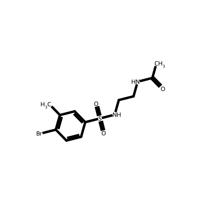 CC(=O)NCCNS(=O)(=O)c1ccc(Br)c(C)c1